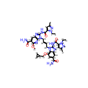 CCn1nc(C)cc1C(=O)Nc1nc2cc(C(N)=O)c(OC)nc2n1C/C=C/Cn1c(NC(=O)c2cc(C)nn2CC)nc2cc(C(N)=O)cc(OCC3CC3)c21